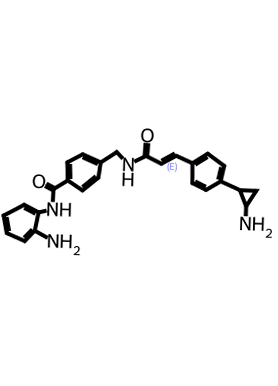 Nc1ccccc1NC(=O)c1ccc(CNC(=O)/C=C/c2ccc(C3CC3N)cc2)cc1